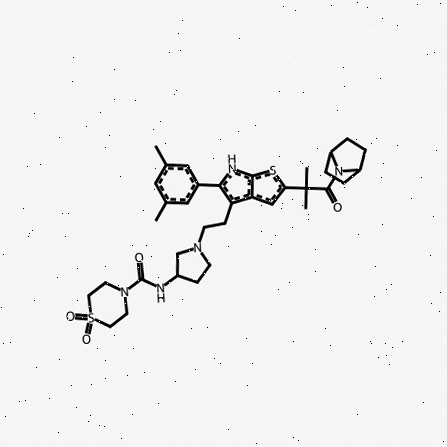 Cc1cc(C)cc(-c2[nH]c3sc(C(C)(C)C(=O)N4C5CCC4CC5)cc3c2CCN2CCC(NC(=O)N3CCS(=O)(=O)CC3)C2)c1